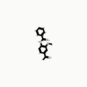 CSc1cc(C(C)=O)ccc1OC(=O)c1ccccc1